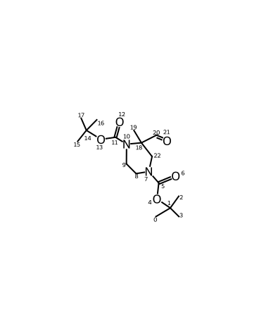 CC(C)(C)OC(=O)N1CCN(C(=O)OC(C)(C)C)C(C)(C=O)C1